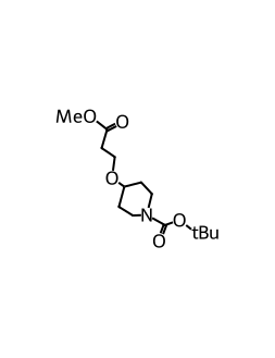 COC(=O)CCOC1CCN(C(=O)OC(C)(C)C)CC1